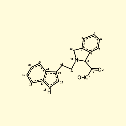 O=CC(=O)C1c2ccccc2CN1CCc1c[nH]c2ccccc12